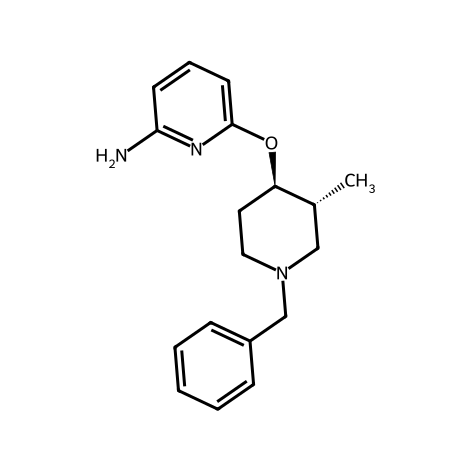 C[C@@H]1CN(Cc2ccccc2)CC[C@H]1Oc1cccc(N)n1